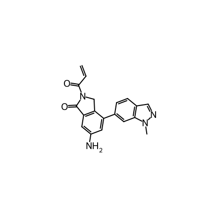 C=CC(=O)N1Cc2c(cc(N)cc2-c2ccc3cnn(C)c3c2)C1=O